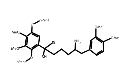 CCCCCOc1cc(C(C#N)(CC)CCCC(N)Cc2ccc(OC)c(OC)c2)c(OCCCCC)c(OC)c1OC